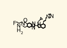 Cn1c(-c2cc3cccc(/C=C/Cn4ccnc4)c3n2CC2CC2)nc2cc3c(cc21)CCN(CC(N)CF)C3=O